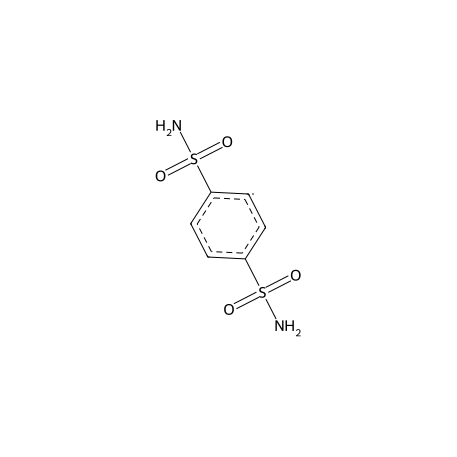 NS(=O)(=O)c1[c]cc(S(N)(=O)=O)cc1